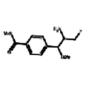 CNC(=O)c1ccc(C(OC)C(N)CF)cc1